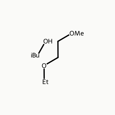 CCC(C)O.CCOCCOC